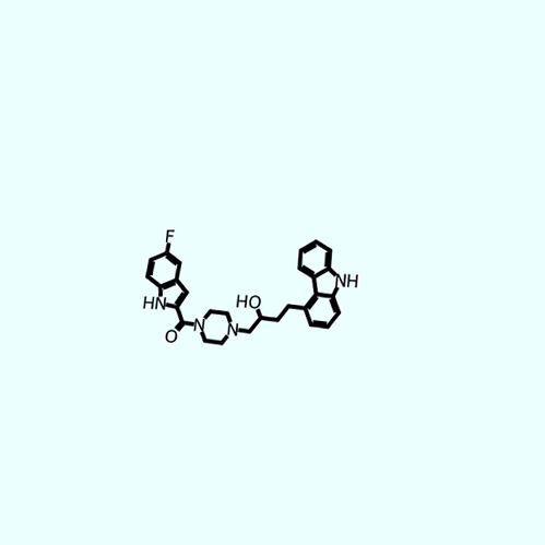 O=C(c1cc2cc(F)ccc2[nH]1)N1CCN(CC(O)CCc2cccc3[nH]c4ccccc4c23)CC1